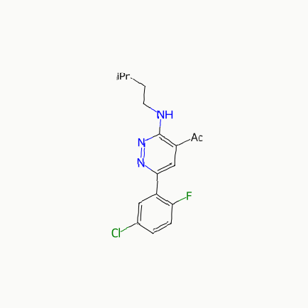 CC(=O)c1cc(-c2cc(Cl)ccc2F)nnc1NCCC(C)C